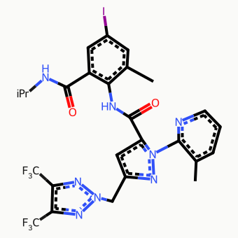 Cc1cccnc1-n1nc(Cn2nc(C(F)(F)F)c(C(F)(F)F)n2)cc1C(=O)Nc1c(C)cc(I)cc1C(=O)NC(C)C